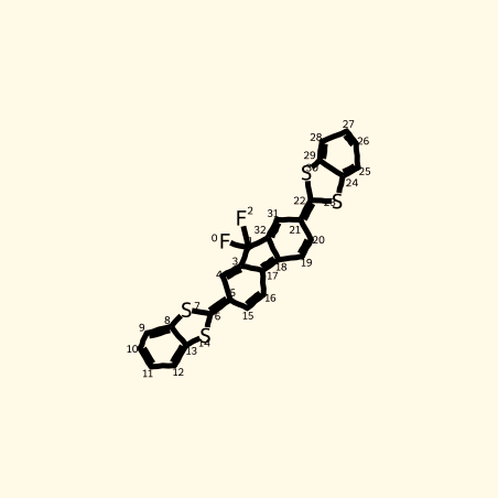 FC1(F)c2cc(=C3Sc4ccccc4S3)ccc2=c2ccc(=C3Sc4ccccc4S3)cc21